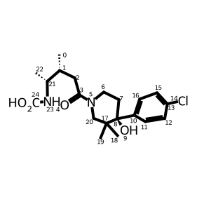 C[C@H](CC(=O)N1CC[C@](O)(c2ccc(Cl)cc2)C(C)(C)C1)[C@@H](C)NC(=O)O